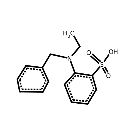 CCN(Cc1ccccc1)c1ccccc1S(=O)(=O)O